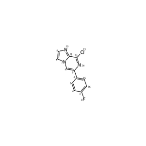 Fc1ccc(-c2cn3ccnc3c(Cl)n2)cc1